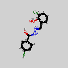 O=C(N/N=C/c1cccc(Cl)c1O)c1ccc(F)cc1